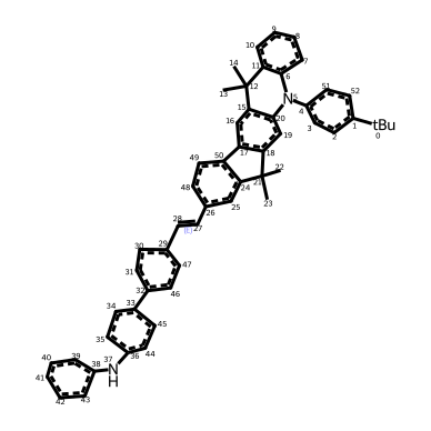 CC(C)(C)c1ccc(N2c3ccccc3C(C)(C)c3cc4c(cc32)C(C)(C)c2cc(/C=C/c3ccc(-c5ccc(Nc6ccccc6)cc5)cc3)ccc2-4)cc1